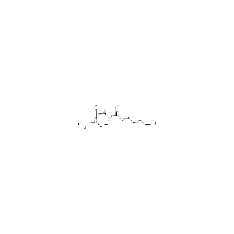 CC1(C)CN(C(=O)NCCCCO)CCN1C(=O)O